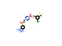 O=C(OCc1cc(C(F)(F)F)cc(C(F)(F)F)c1)N1CCN(CC[S@+]([O-])c2ccc3nn[nH]c3c2)CC1